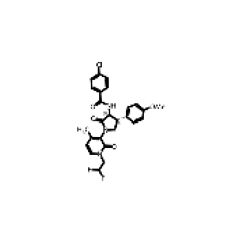 COc1ccc([C@@H]2CN(c3c(C)ccn(CC(F)F)c3=O)C(=O)[C@H]2NC(=O)c2ccc(Cl)cc2)cc1